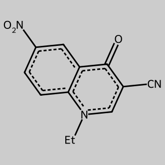 CCn1cc(C#N)c(=O)c2cc([N+](=O)[O-])ccc21